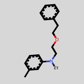 CCN(CCOCCc1ccccc1)c1cccc(C)c1